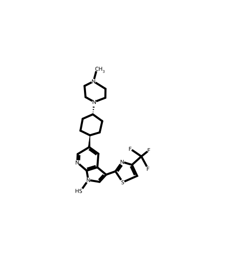 CN1CCN([C@H]2CC[C@H](c3cnc4c(c3)c(-c3nc(C(F)(F)F)cs3)cn4S)CC2)CC1